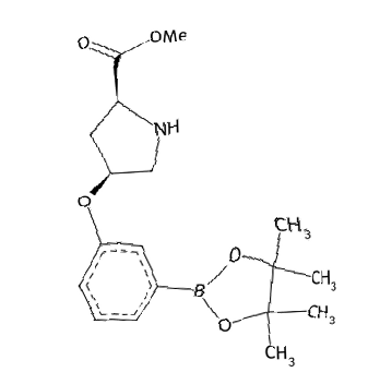 COC(=O)[C@@H]1C[C@H](Oc2cccc(B3OC(C)(C)C(C)(C)O3)c2)CN1